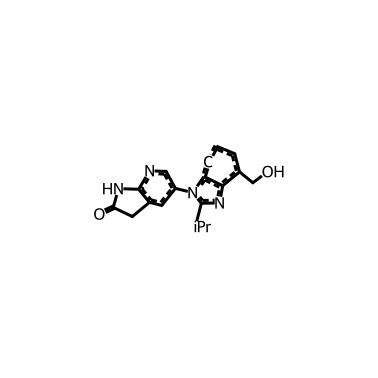 CC(C)c1nc2c(CO)cccc2n1-c1cnc2c(c1)CC(=O)N2